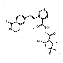 N#CC1CC(F)(F)CN1C(=O)CNC(=O)c1ccncc1C=Cc1ccc2c(c1)CCNC2=O